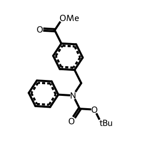 COC(=O)c1ccc(CN(C(=O)OC(C)(C)C)c2ccccc2)cc1